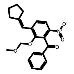 COCOc1c(C=C2CCCC2)ccc([N+](=O)[O-])c1C(=O)c1ccccc1